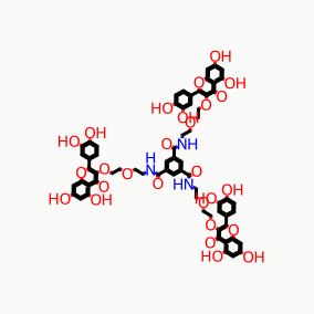 O=C(NCCOCCOc1c(-c2ccc(O)c(O)c2)oc2cc(O)cc(O)c2c1=O)c1cc(C(=O)NCCOCCOc2c(-c3ccc(O)c(O)c3)oc3cc(O)cc(O)c3c2=O)cc(C(=O)NCCOCCOc2c(-c3ccc(O)c(O)c3)oc3cc(O)cc(O)c3c2=O)c1